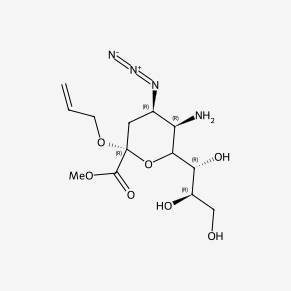 C=CCO[C@]1(C(=O)OC)C[C@@H](N=[N+]=[N-])[C@@H](N)C([C@H](O)[C@H](O)CO)O1